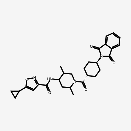 CC1CN(C(=O)[C@H]2CC[C@H](N3C(=O)c4ccccc4C3=O)CC2)C(C)CC1NC(=O)c1cc(C2CC2)on1